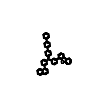 c1ccc(-c2ccc(-c3ccc(N(c4cccc(-c5cccc6ccccc56)c4)c4cccc(-c5cccc6c5oc5ccccc56)c4)cc3)cc2)cc1